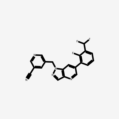 N#Cc1cncc(Cn2ncc3ncc(-c4cccc(C(F)F)c4F)cc32)c1